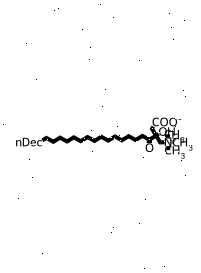 CCCCCCCCCCCCCCCCCCCCCCCCCC(=O)C(O)(CC(=O)[O-])C[N+](C)(C)C